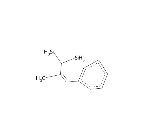 CC(=Cc1ccccc1)C([SiH3])[SiH3]